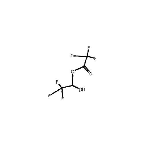 O=C(OC(O)C(F)(F)F)C(F)(F)F